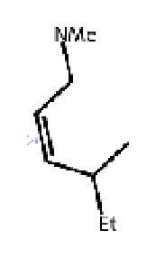 CCC(C)/C=C\CNC